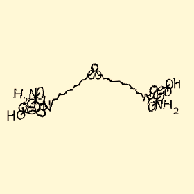 Cc1c(C(=O)C(N)=O)c2c(OCC(=O)O)cccc2n1CCCCCCCCCCCCOc1ccccc1OCCCCCCCCCCCCn1c(C)c(C(=O)C(N)=O)c2c(OCC(=O)O)cccc21